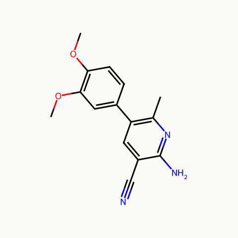 COc1ccc(-c2cc(C#N)c(N)nc2C)cc1OC